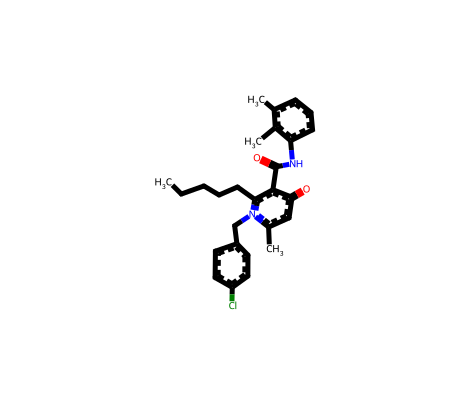 CCCCCc1c(C(=O)Nc2cccc(C)c2C)c(=O)cc(C)n1Cc1ccc(Cl)cc1